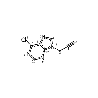 C#CCn1cnc2c(Cl)ncnc21